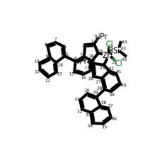 CC(C)C1=Cc2c(-c3cccc4ccccc34)cccc2[CH]1[Zr]([Cl])([Cl])([CH]1C(C(C)C)=Cc2c(-c3cccc4ccccc34)cccc21)[SiH](C)C